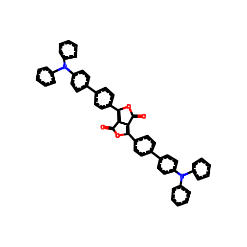 O=C1OC(c2ccc(-c3ccc(N(c4ccccc4)c4ccccc4)cc3)cc2)=C2C(=O)OC(c3ccc(-c4ccc(N(c5ccccc5)c5ccccc5)cc4)cc3)=C12